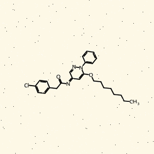 CCCCCCCCOc1c/c(=N/C(=O)Cc2ccc(Cl)cc2)cnn1-c1ccccc1